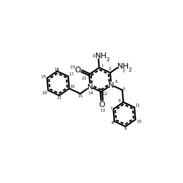 Nc1c(N)n(Cc2ccccc2)c(=O)n(Cc2ccccc2)c1=O